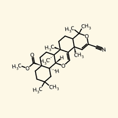 COC(=O)[C@]12CCC(C)(C)C[C@@H]1[C@H]1OC=C3[C@@]4(C)C=C(C#N)OC(C)(C)C4CC[C@@]3(C)[C@]1(C)CC2